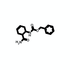 NC(=O)C1CC=CCC1NC(=O)OCc1ccccc1